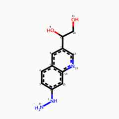 NNc1ccc2cc(C(O)CO)cnc2c1